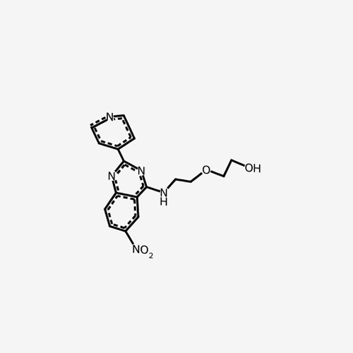 O=[N+]([O-])c1ccc2nc(-c3ccncc3)nc(NCCOCCO)c2c1